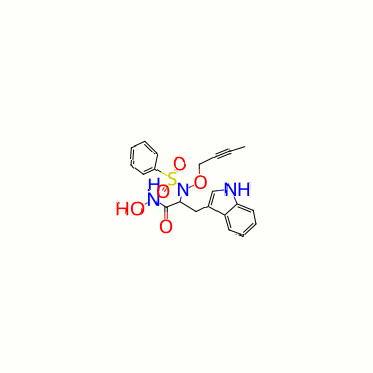 CC#CCON(C(Cc1c[nH]c2ccccc12)C(=O)NO)S(=O)(=O)c1ccccc1